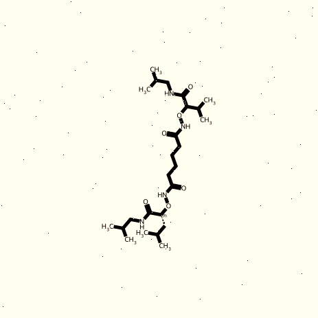 CC(C)CNC(=O)C(ONC(=O)CCCCC(=O)NO[C@H](CC(C)C)C(=O)NCC(C)C)C(C)C